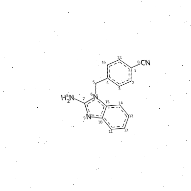 N#Cc1ccc(Cn2c(N)nc3ccccc32)cc1